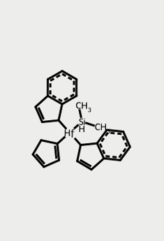 C[SiH](C)[Hf]([C]1=CC=CC1)([CH]1C=Cc2ccccc21)[CH]1C=Cc2ccccc21